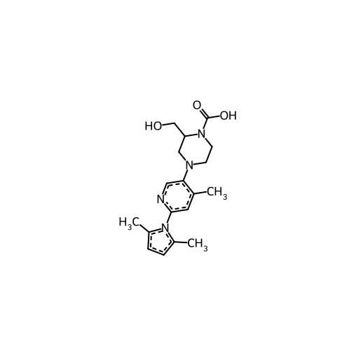 Cc1cc(-n2c(C)ccc2C)ncc1N1CCN(C(=O)O)C(CO)C1